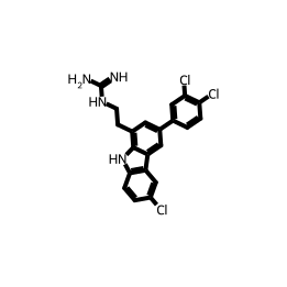 N=C(N)NCCc1cc(-c2ccc(Cl)c(Cl)c2)cc2c1[nH]c1ccc(Cl)cc12